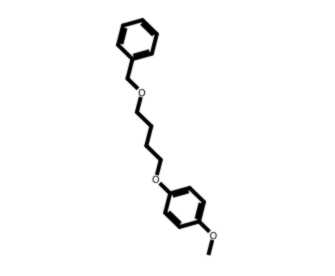 COc1ccc(OCCCCOCc2ccccc2)cc1